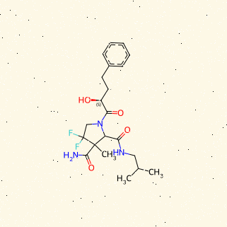 CC(C)CNC(=O)C1N(C(=O)[C@@H](O)[CH]Cc2ccccc2)CC(F)(F)C1(C)C(N)=O